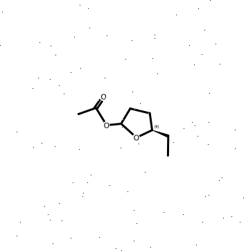 CC[C@@H]1CCC(OC(C)=O)O1